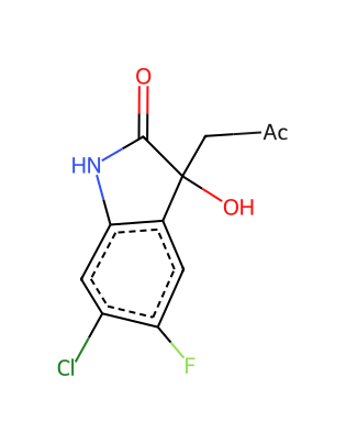 CC(=O)CC1(O)C(=O)Nc2cc(Cl)c(F)cc21